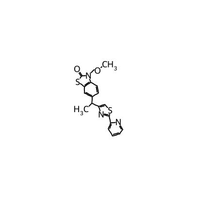 COCn1c(=O)sc2cc(C(C)c3csc(-c4ccccn4)n3)ccc21